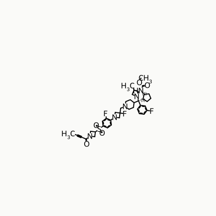 CC#CC(=O)N1CC(S(=O)(=O)c2ccc(N3CC(F)(CN4CCC(C(c5cccc(F)c5)([C@H]5CCC[C@@H]5NC(=O)OC)N5CC(C)C5)CC4)C3)c(F)c2)C1